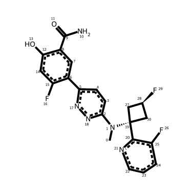 CN(c1ccc(-c2cc(C(N)=O)c(O)cc2F)nn1)[C@]1(c2ncccc2F)C[C@@H](F)C1